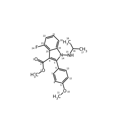 COC(=O)c1c(-c2ccc(OC)cc2)n(NC(C)C)c2cccc(F)c12